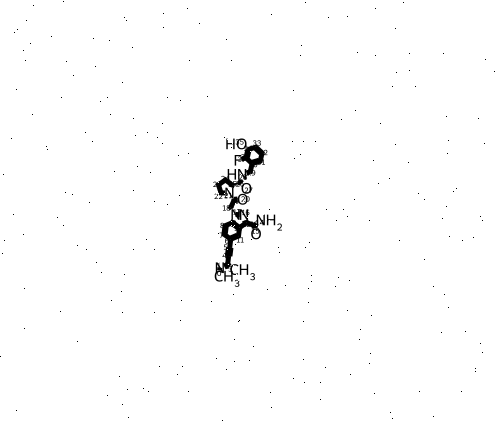 C/N=C(\C)C#Cc1ccc2c(c1)c(C(N)=O)nn2CC(=O)N1CCC[C@H]1C(=O)NCc1cccc(O)c1F